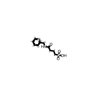 O=C(CCCS(=O)(=O)O)NCc1ccccn1